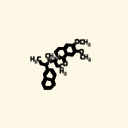 CCC(c1ccc2ccccc2c1)N(C)C(CC)N1CCc2cc(OC)c(OC)cc2C1=O